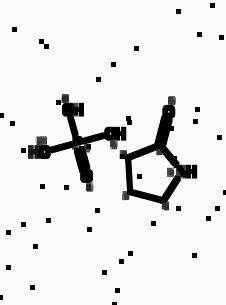 O=C1CCCN1.O=P(O)(O)O